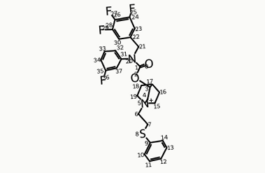 O=C(OC1C[N+]2(CCSc3ccccc3)CCC1CC2)N(Cc1cc(F)c(F)c(F)c1)c1cccc(F)c1